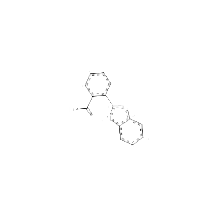 CCC(=O)c1ccccc1-c1nc2ccccc2s1